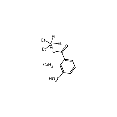 CC[SH](CC)(CC)(CC)OC(=O)c1cccc(C(=O)O)c1.[CaH2]